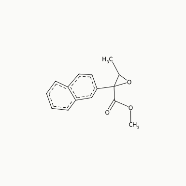 COC(=O)C1(c2ccc3ccccc3c2)OC1C